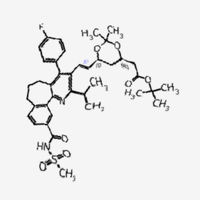 CC(C)c1nc2c(c(-c3ccc(F)cc3)c1/C=C/[C@@H]1C[C@H](CC(=O)OC(C)(C)C)OC(C)(C)O1)CCCc1ccc(C(=O)NS(C)(=O)=O)cc1-2